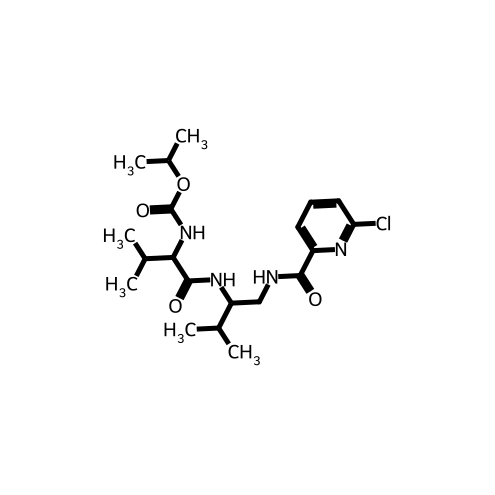 CC(C)OC(=O)NC(C(=O)NC(CNC(=O)c1cccc(Cl)n1)C(C)C)C(C)C